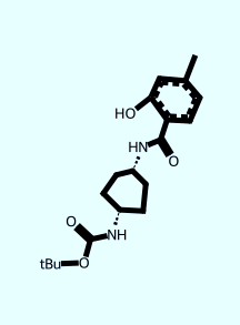 Cc1ccc(C(=O)N[C@H]2CC[C@@H](NC(=O)OC(C)(C)C)CC2)c(O)c1